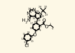 CCOC(=O)c1cc(Oc2cccc(Cl)c2)ccc1-c1cn(C(C)(C)C)c2ncnc(N)c12